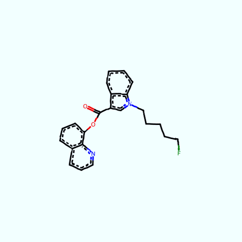 O=C(Oc1cccc2cccnc12)c1cn(CCCCCF)c2ccccc12